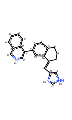 C(=C1/CCCc2ccc(-c3cncc4ccccc34)cc21)/c1c[nH]cn1